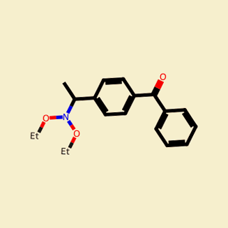 CCON(OCC)C(C)c1ccc(C(=O)c2ccccc2)cc1